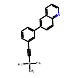 C[Si](C)(C)C#Cc1cccc(-c2ccc3ncccc3c2)c1